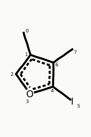 Cc1coc(I)c1C